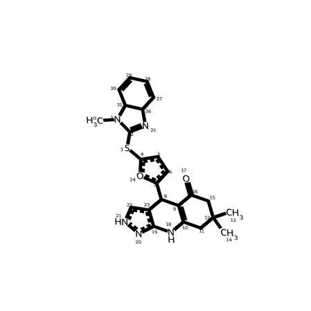 CN1C(Sc2ccc(C3C4=C(CC(C)(C)CC4=O)Nc4n[nH]cc43)o2)=NC2C=CC=CC21